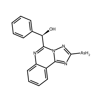 O[C@H](c1ccccc1)c1nc2ccccc2c2nc([AsH2])nn12